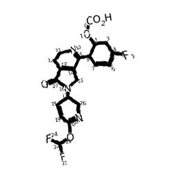 O=C(O)OC1CC(F)C=CC1C1=NCCC2=C1CN(C1C=CC(OC(F)F)=NC1)C2=O